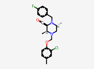 Cc1ccc(OCN2C[C@@H](C)N(Cc3ccc(F)cc3)C(=C=O)[C@@H]2C)c(Cl)c1